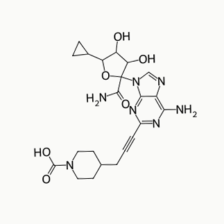 NC(=O)C1(n2cnc3c(N)nc(C#CCC4CCN(C(=O)O)CC4)nc32)OC(C2CC2)C(O)C1O